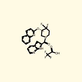 O=C(O)C(F)(F)F.O=C(c1cc2cccnc2[nH]1)N1CCC(F)(F)[C@@H](Oc2ccc3ccccc3n2)C1